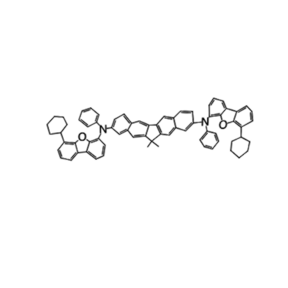 CC1(C)c2cc3cc(N(c4ccccc4)c4cccc5c4oc4c(C6CCCCC6)cccc45)ccc3cc2-c2cc3ccc(N(c4ccccc4)c4cccc5c4oc4c(C6CCCCC6)cccc45)cc3cc21